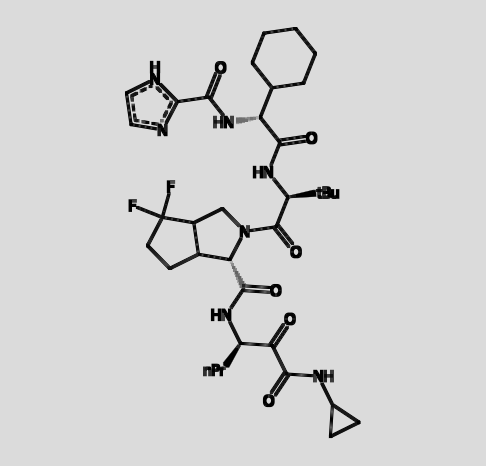 CCC[C@@H](NC(=O)[C@@H]1C2CCC(F)(F)C2CN1C(=O)[C@@H](NC(=O)[C@H](NC(=O)c1ncc[nH]1)C1CCCCC1)C(C)(C)C)C(=O)C(=O)NC1CC1